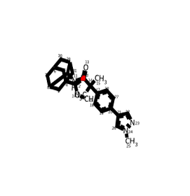 COC(=O)C12CC3CC(C1)C(NC(=O)C(C)(C)c1ccc(-c4cnn(C)c4)cc1)C(C3)C2